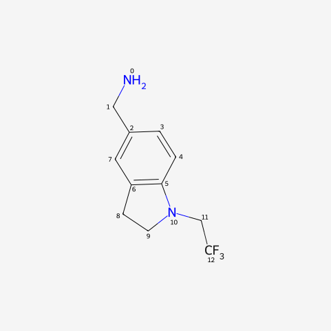 NCc1ccc2c(c1)CCN2CC(F)(F)F